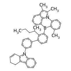 CCCC(C)c1c(B2c3c(C)cccc3-n3c(C)c(C)c4cccc2c43)cccc1-c1cccc(-n2c3c(c4ccccc42)CCC=C3)c1